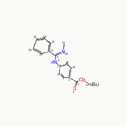 CCCCOC(=O)c1ccc(NC(=NC)c2ccccc2)cc1